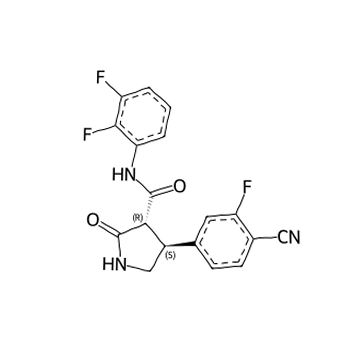 N#Cc1ccc([C@H]2CNC(=O)[C@@H]2C(=O)Nc2cccc(F)c2F)cc1F